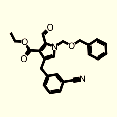 CCOC(=O)c1c(Cc2cccc(C#N)c2)cn(COCc2ccccc2)c1C=O